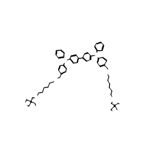 CCC1(COCCCCCCOCc2ccc(N(c3ccc(C)cc3)c3ccc(-c4ccc(N(c5ccc(C)cc5)c5ccc(COCCCCCCOCC6(CC)COC6)cc5)cc4)cc3)cc2)COC1